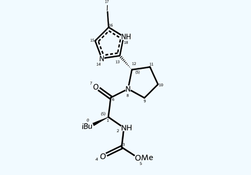 CCC(C)[C@H](NC(=O)OC)C(=O)N1CCC[C@H]1c1ncc(I)[nH]1